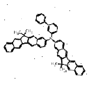 CC1(C)c2cc3ccccc3cc2-c2cc3ccc(N(c4cccc(-c5ccccc5)c4)c4ccc5cc6c(cc5c4)C(C)(C)c4cc5ccccc5cc4-6)cc3cc21